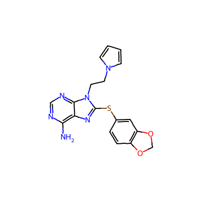 Nc1ncnc2c1nc(Sc1ccc3c(c1)OCO3)n2CCn1cccc1